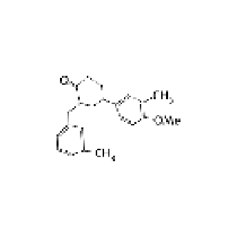 COc1ccc(C2CCC(=O)C(Cc3cccc(C)c3)C2)cc1C